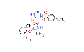 Cc1ccc(S(=O)(=O)N2C=CNC(=O)[C@H]2CC(=O)N[C@H](C)COc2c(C)cccc2C)cc1